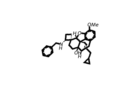 COc1ccc2c3c1O[C@H]1[C@@]4(CC[C@H]4NCc4ccccc4)CC[C@@]4(O)[C@@H](C2)N(CC2CC2)CC[C@]314